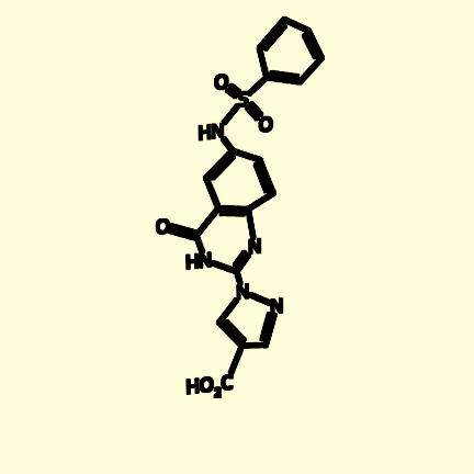 O=C(O)c1cnn(-c2nc3ccc(NS(=O)(=O)c4ccccc4)cc3c(=O)[nH]2)c1